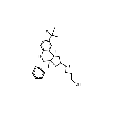 OCCCN[C@H]1C[C@@H]2[C@H](C1)c1cc(C(F)(F)F)ccc1N[C@H]2c1ccccc1